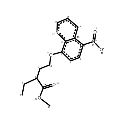 CCC(CCOc1ccc([N+](=O)[O-])c2cccnc12)C(=O)OC